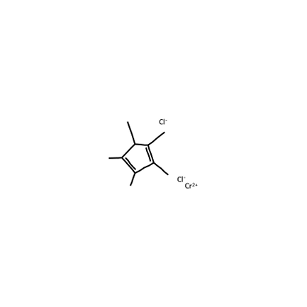 CC1=C(C)C(C)C(C)=C1C.[Cl-].[Cl-].[Cr+2]